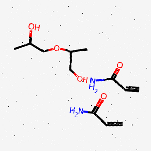 C=CC(N)=O.C=CC(N)=O.CC(O)COC(C)CO